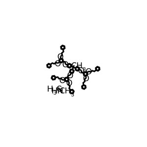 CC(c1ccc(OCc2cc(OCCCc3ccccc3)cc(OCCCc3ccccc3)c2)cc1)(c1ccc(OCc2cc(OCCCc3ccccc3)cc(OCCCc3ccccc3)c2)cc1)c1ccc(OCc2cc(OCCCc3ccccc3)cc(OCCCc3ccccc3)c2)cc1.CNC